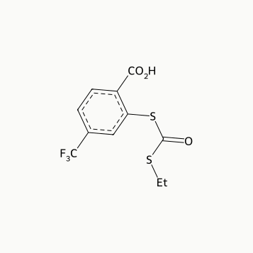 CCSC(=O)Sc1cc(C(F)(F)F)ccc1C(=O)O